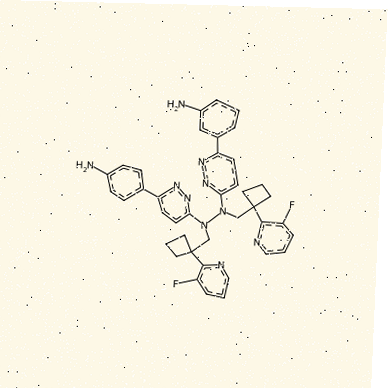 Nc1ccc(-c2ccc(N(CC3(c4ncccc4F)CCC3)N(CC3(c4ncccc4F)CCC3)c3ccc(-c4cccc(N)c4)nn3)nn2)cc1